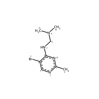 Cc1ncc(Br)c(NCN(C)C)n1